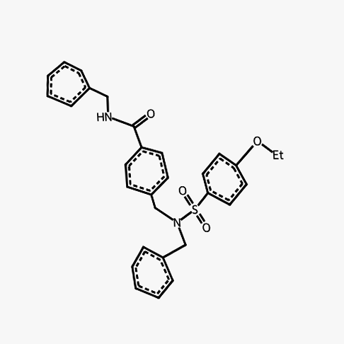 CCOc1ccc(S(=O)(=O)N(Cc2ccccc2)Cc2ccc(C(=O)NCc3ccccc3)cc2)cc1